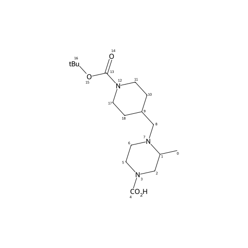 CC1CN(C(=O)O)CCN1CC1CCN(C(=O)OC(C)(C)C)CC1